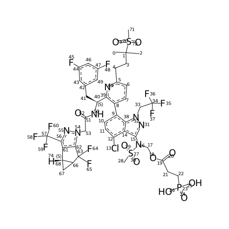 CC(C)(CCc1ccc(-c2ccc(Cl)c3c(N(COC(=O)CCP(=O)(O)O)S(C)(=O)=O)nn(CC(F)(F)F)c23)c([C@H](Cc2cc(F)cc(F)c2)NC(=O)Cn2nc(C(F)(F)F)c3c2C(F)(F)C2C[C@H]32)n1)S(C)(=O)=O